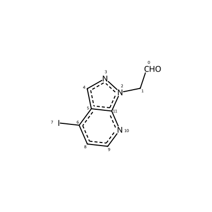 O=CCn1ncc2c(I)ccnc21